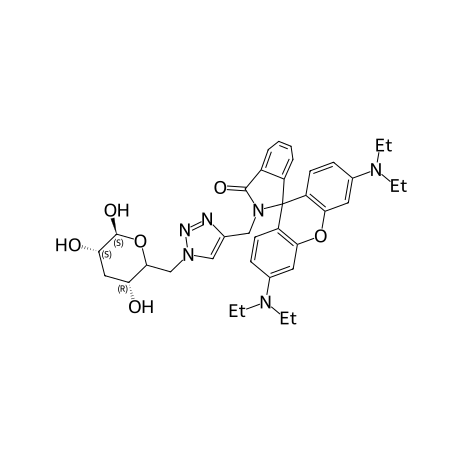 CCN(CC)c1ccc2c(c1)Oc1cc(N(CC)CC)ccc1C21c2ccccc2C(=O)N1Cc1cn(CC2O[C@H](O)[C@@H](O)C[C@H]2O)nn1